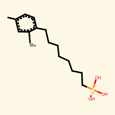 Cc1ccc(CCCCCCCC[PH](O)(O)O)c(C(C)(C)C)c1